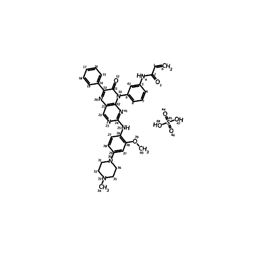 C=CC(=O)Nc1cccc(-n2c(=O)c(-c3ccccc3)nc3cnc(Nc4ccc(N5CCN(C)CC5)cc4OC)nc32)c1.O=S(=O)(O)O